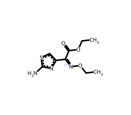 CCO/N=C(\C(=O)OCC)c1csc(N)n1